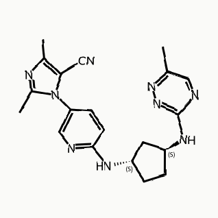 Cc1cnc(N[C@H]2CC[C@H](Nc3ccc(-n4c(C)nc(C)c4C#N)cn3)C2)nn1